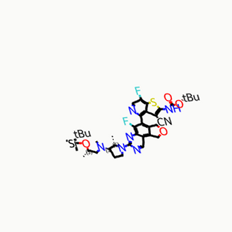 C[C@@H](CN(C)[C@H]1CCN(c2ncc3c4c(c(-c5ncc(F)c6sc(NC(=O)OC(C)(C)C)c(C#N)c56)c(F)c3n2)COC4)[C@H]1C)O[Si](C)(C)C(C)(C)C